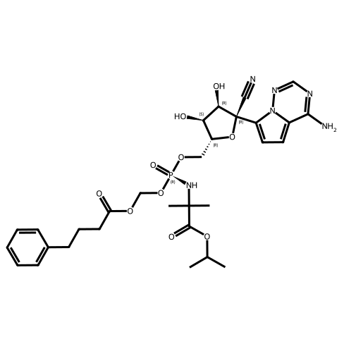 CC(C)OC(=O)C(C)(C)N[P@](=O)(OCOC(=O)CCCc1ccccc1)OC[C@H]1O[C@@](C#N)(c2ccc3c(N)ncnn23)[C@H](O)[C@@H]1O